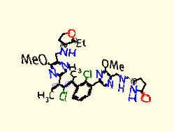 C/C=C(\C(Cl)=C(/C)c1cccc(-c2cnc(CNC[C@@H]3CCC(=O)N3)c(OC)n2)c1Cl)c1cnc(CN[C@@H]2CCO[C@H]2CC)c(OC)n1